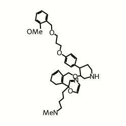 CNCCCCC1(C2=C(COC3CNCCC3c3ccc(OCCCOCc4ccccc4OC)cc3)C=CCC2)C=NC=CO1